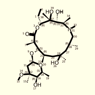 CC[C@H]1OC(=O)[C@H](C)[C@@H](O[C@@H]2C[C@](C)(OC)[C@H](O)[C@H](C)O2)[C@H](C)C[C@](C)(O)C[C@@H](C)CN(C)[C@H](C)[C@@H](O)[C@@]1(C)O